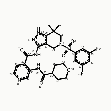 CC1(C)CN(S(=O)(=O)c2cc(F)cc(F)c2)Cc2c(NC(=O)c3ccncc3NC(=O)C3CCOCC3)n[nH]c21